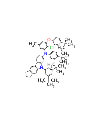 Cc1cc(Oc2ccc(C(C)(C)C)cc2)c(Cl)c(N(c2ccc(C(C)(C)C)cc2)c2ccc3c4cc5c(cc4n(-c4cc(C(C)(C)C)cc(C(C)(C)C)c4)c3c2)CCC5)c1